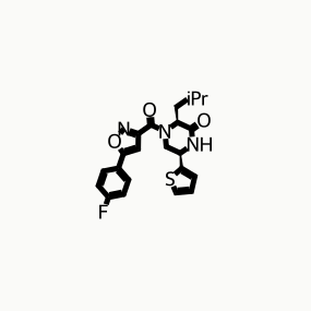 CC(C)C[C@H]1C(=O)N[C@@H](c2cccs2)CN1C(=O)c1cc(-c2ccc(F)cc2)on1